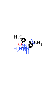 Cc1cccc(C(=O)n2nc(Nc3ccc4c(cnn4C)c3)nc2N)c1